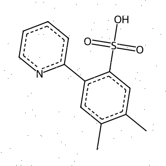 Cc1cc(-c2ccccn2)c(S(=O)(=O)O)cc1C